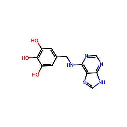 Oc1cc(CNc2ncnc3[nH]cnc23)cc(O)c1O